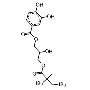 CC(C)(C)CC(C)(C(=O)OCC(O)COC(=O)c1ccc(O)c(O)c1)C(C)(C)C